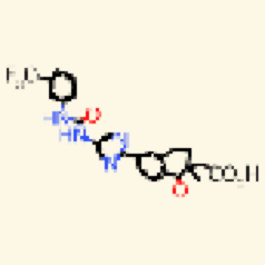 CC1(CC(=O)O)CCc2cc(-c3ncc(NC(=O)Nc4cccc(C(F)(F)F)c4)cn3)ccc2C1=O